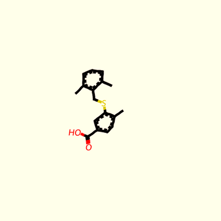 Cc1ccc(C(=O)O)cc1SCc1c(C)cccc1C